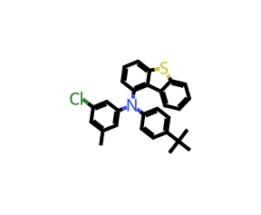 Cc1cc(Cl)cc(N(c2ccc(C(C)(C)C)cc2)c2cccc3sc4ccccc4c23)c1